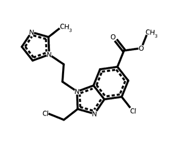 COC(=O)c1cc(Cl)c2nc(CCl)n(CCn3ccnc3C)c2c1